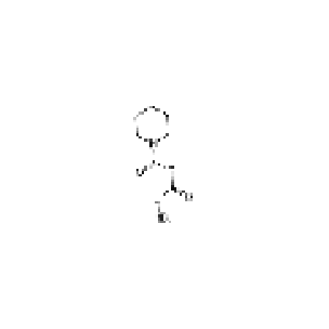 CC(C)(C)OC(=O)OC(=O)N1CCCCC1